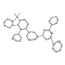 CC1(C)c2ccccc2-c2c1ccc(-c1cccc(-c3cc(-c4ccccc4)nc(-c4ccccc4)n3)c1)c2-c1ccccc1